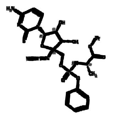 CC(C)OC(=O)[C@H](C)NP(=O)(OC[C@@]1(N=[N+]=[N-])O[C@@H](n2ccc(N)nc2=S)[C@@H](O)C1O)Oc1ccccc1